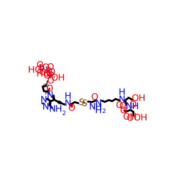 Nc1ncnc2c1c(C#CCNC(=O)CCSSCC(N)C(=O)NCCCCCC(=O)NC(CC(=O)O)C(=O)NC(CC(=O)O)C(=O)O)cn2[C@H]1CC[C@@H](COP(=O)(O)OP(=O)(O)OP(=O)(O)O)O1